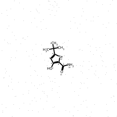 CC(C)(C)c1cc(O)c(C(N)=O)[se]1